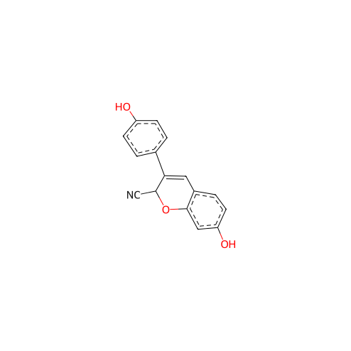 N#CC1Oc2cc(O)ccc2C=C1c1ccc(O)cc1